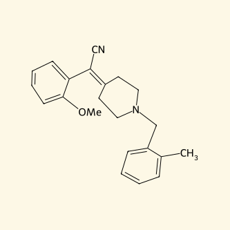 COc1ccccc1C(C#N)=C1CCN(Cc2ccccc2C)CC1